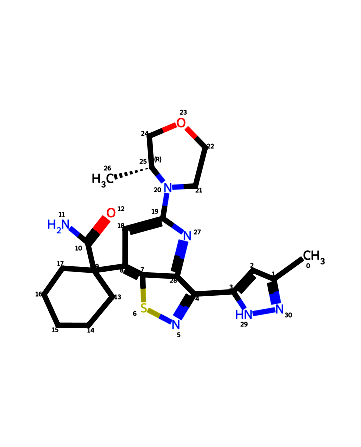 Cc1cc(-c2nsc3c(C4(C(N)=O)CCCCC4)cc(N4CCOC[C@H]4C)nc23)[nH]n1